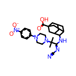 CC(C)(/C(=N\C#N)NC1C2CC3CC1CC(C(=O)O)(C3)C2)N1CCN(c2ccc([N+](=O)[O-])cc2)CC1